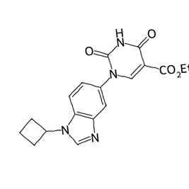 CCOC(=O)c1cn(-c2ccc3c(c2)ncn3C2CCC2)c(=O)[nH]c1=O